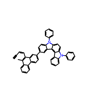 C#C/C=C\c1c(C)c2ccccc2c2ccc(-c3ccc4c(c3)c3c5c6ccccc6n(-c6ccccc6)c5ccc3n4-c3ccccc3)cc12